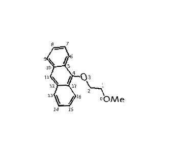 COCCOc1c2ccccc2cc2ccccc12